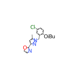 Cc1cc(-c2ncco2)nn1Cc1cc(Cl)ccc1OCC(C)C